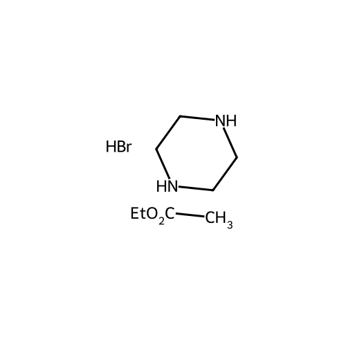 Br.C1CNCCN1.CCOC(C)=O